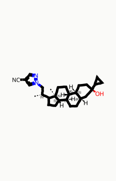 C[C@H](Cn1cc(C#N)cn1)C1CC[C@H]2[C@@H]3CC[C@@H]4C[C@@](O)(C5CC5)CC[C@@H]4[C@H]3CC[C@]12C